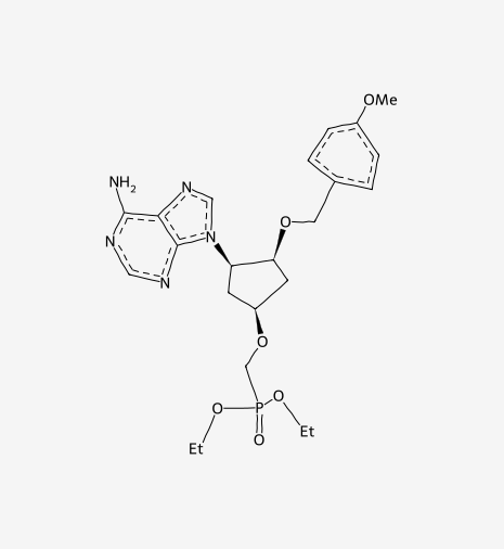 CCOP(=O)(CO[C@@H]1C[C@H](OCc2ccc(OC)cc2)[C@H](n2cnc3c(N)ncnc32)C1)OCC